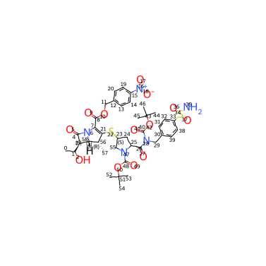 CC(O)[C@H]1C(=O)N2C(C(=O)OCc3ccc([N+](=O)[O-])cc3)=C(S[C@H]3CC(C(=O)N(Cc4ccc(S(N)(=O)=O)cc4)C(=O)OC(C)(C)C)N(C(=O)OC(C)(C)C)C3)[C@H](C)[C@H]12